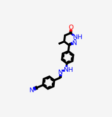 CC1CC(=O)NN=C1c1ccc(NN=Cc2ccc(C#N)cc2)cc1